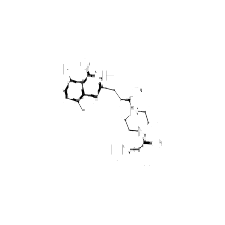 Cc1ccc(F)c2c(=O)[nH]c(CCC(=O)N3CCN(C(=O)[C@H](C)N)CC3)cc12